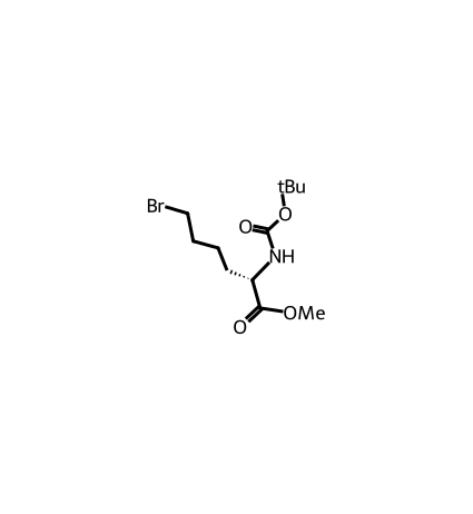 COC(=O)[C@H](CCCCBr)NC(=O)OC(C)(C)C